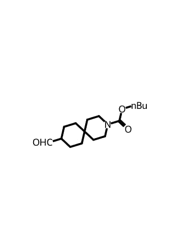 CCCCOC(=O)N1CCC2(CCC(C=O)CC2)CC1